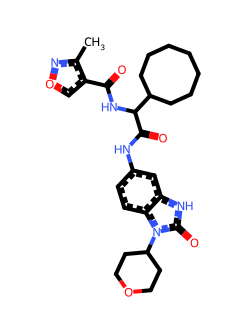 Cc1nocc1C(=O)NC(C(=O)Nc1ccc2c(c1)[nH]c(=O)n2C1CCOCC1)C1CCCCCCC1